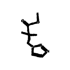 COC(=O)C(C)(C)Cn1ccnn1